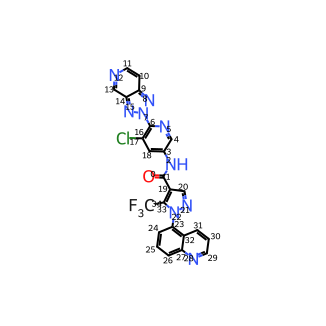 O=C(Nc1cnc(-n2nc3ccncc3n2)c(Cl)c1)c1cnn(-c2cccc3ncccc23)c1C(F)(F)F